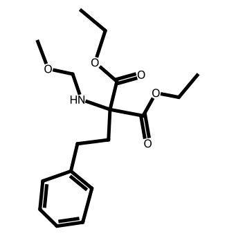 CCOC(=O)C(CCc1ccccc1)(NCOC)C(=O)OCC